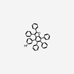 F.c1ccc(-c2oc3c(-c4ccccc4)c(-c4ccccc4)c(-c4ccccc4)c(-c4ccccc4)c3c2-c2ccccc2)cc1